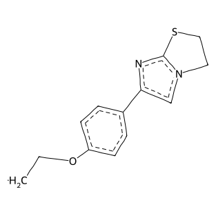 [CH2]COc1ccc(-c2cn3c(n2)SCC3)cc1